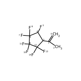 C=C(C)C1C(F)C(F)(F)C(F)(F)C1(F)F